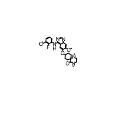 COc1cc2ncnc(Nc3cccc(Cl)c3F)c2cc1OC1CCC2(CC1)C(=O)N(C)CCN2C